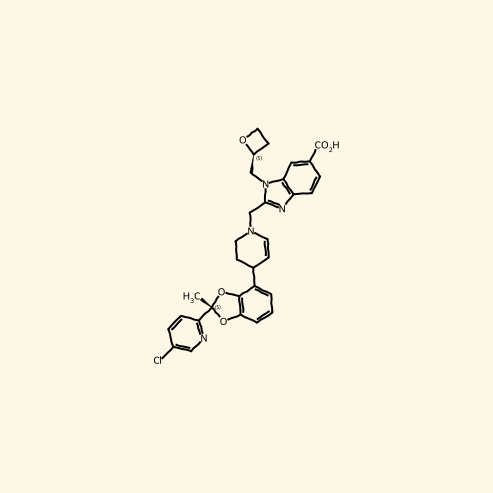 C[C@]1(c2ccc(Cl)cn2)Oc2cccc(C3C=CN(Cc4nc5ccc(C(=O)O)cc5n4C[C@@H]4CCO4)CC3)c2O1